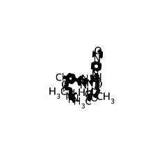 CC(=O)OC(C)(C)CCOc1nn(C2CCC(N3CCOCC3)CC2)cc1Nc1ncc(-c2ccc(Cl)c(O[C@@H](C)Cn3cnnn3)c2)cn1